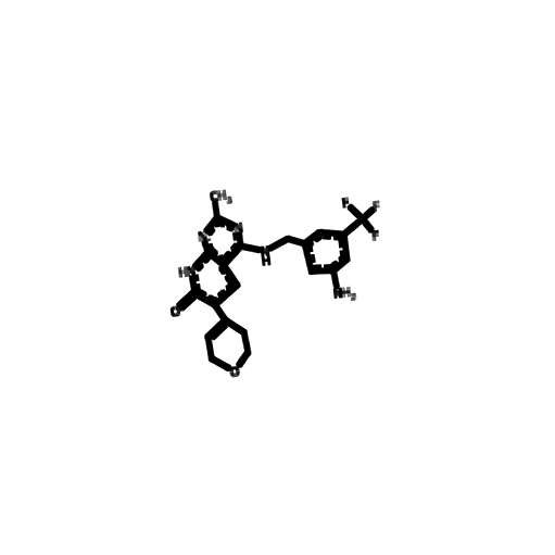 Cc1nc(NCc2cc(N)cc(C(F)(F)F)c2)c2cc(C3=CCOCC3)c(=O)[nH]c2n1